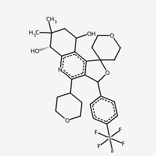 CC1(C)CC(O)c2c(nc(C3CCOCC3)c3c2C2(CCOCC2)OC3c2ccc(S(F)(F)(F)(F)F)cc2)[C@@H]1O